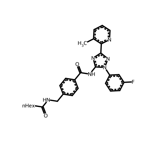 CCCCCCC(=O)NCc1ccc(C(=O)Nc2nc(-c3ncccc3C)nn2-c2cccc(F)c2)cc1